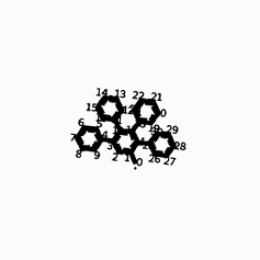 [CH2]c1cc(-c2ccccc2)c(-c2ccccc2)c(-c2ccccc2)c1-c1ccccc1